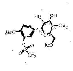 COc1ccc([C@H]2O[C@H](COC(C)=O)[C@H](OC(C)=O)[C@H](O)[C@@H]2O)cc1OS(=O)(=O)C(F)(F)F